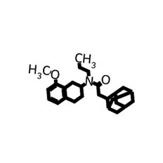 CCCN(C(=O)CC1C2CC3CC(C2)CC1C3)C1CCc2cccc(OC)c2C1